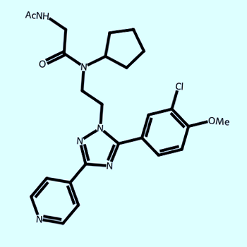 COc1ccc(-c2nc(-c3ccncc3)nn2CCN(C(=O)CNC(C)=O)C2CCCC2)cc1Cl